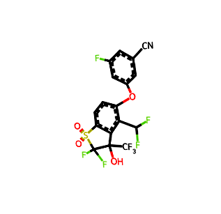 N#Cc1cc(F)cc(Oc2ccc3c(c2C(F)F)C(O)(C(F)(F)F)C(F)(F)S3(=O)=O)c1